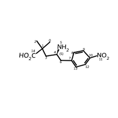 CC(C)(C[C@@H](N)Cc1ccc([N+](=O)[O-])cc1)C(=O)O